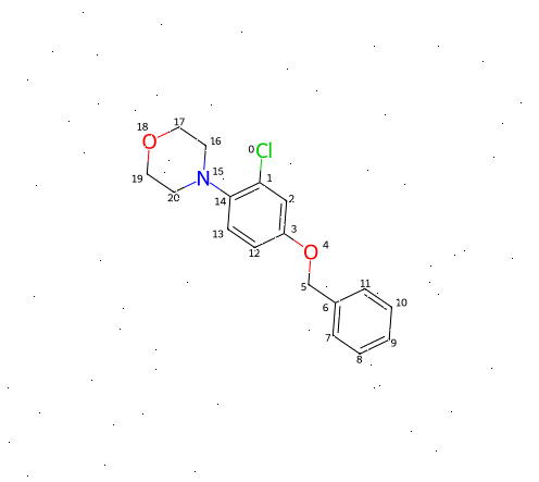 Clc1cc(OCc2ccccc2)ccc1N1CCOCC1